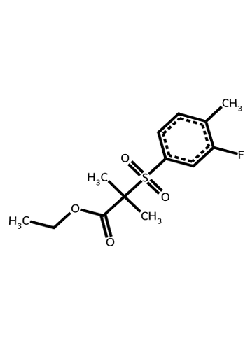 CCOC(=O)C(C)(C)S(=O)(=O)c1ccc(C)c(F)c1